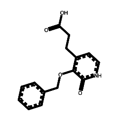 O=C(O)CCc1cc[nH]c(=O)c1OCc1ccccc1